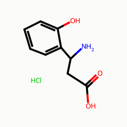 Cl.NC(CC(=O)O)c1ccccc1O